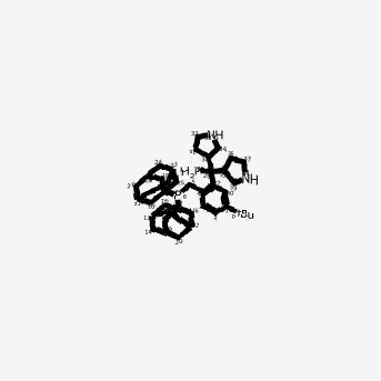 CC(C)(C)c1ccc(CP(C23CC4CC(CC(C4)C2)C3)C23CC4CC(CC(C4)C2)C3)c(C(P)(C2CCNC2)C2CCNC2)c1